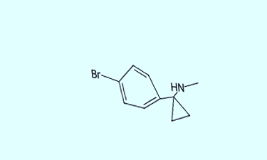 CNC1(c2ccc(Br)cc2)CC1